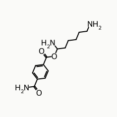 NCCCCCC(N)OC(=O)c1ccc(C(N)=O)cc1